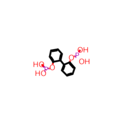 OP(O)Oc1ccccc1-c1ccccc1OP(O)O